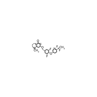 CN1CCCn2c1cc(OCc1cc(F)c(Oc3ccc(C(C)(F)F)nc3)c(F)c1)nc2=O